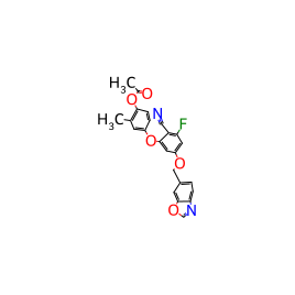 CC(=O)Oc1ccc(Oc2cc(OCc3ccc4ncoc4c3)cc(F)c2C#N)cc1C